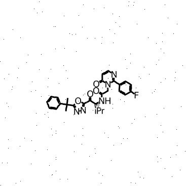 CC(C)[C@@H](NC(=O)Cn1c(-c2ccc(F)cc2)nccc1=O)C(=O)c1nnc(C(C)(C)c2ccccc2)o1